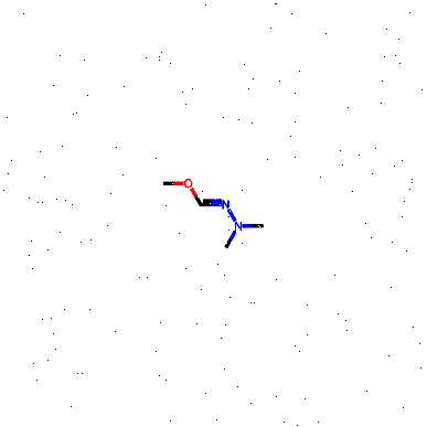 COC=NN(C)C